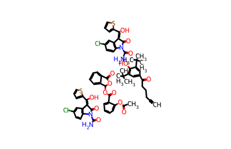 C#CCCCC(=O)c1cc(C(C)(C)C)c(O)c(C(C)(C)C)c1.CC(=O)Oc1ccccc1C(=O)OC1OC(=O)c2ccccc21.NC(=O)N1C(=O)/C(=C(\O)c2cccs2)c2cc(Cl)ccc21.NC(=O)N1C(=O)/C(=C(\O)c2cccs2)c2cc(Cl)ccc21